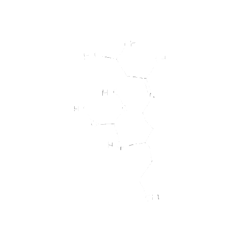 CCCC(CCN=C(C)CC(C)C)[SiH2]C(OC)OC